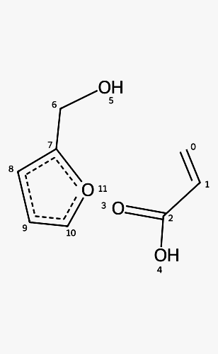 C=CC(=O)O.OCc1ccco1